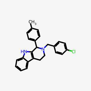 Cc1ccc(C2c3[nH]c4ccccc4c3CCN2Cc2ccc(Cl)cc2)cc1